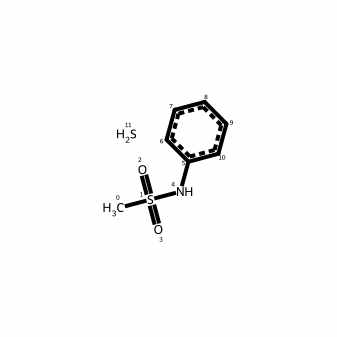 CS(=O)(=O)Nc1ccccc1.S